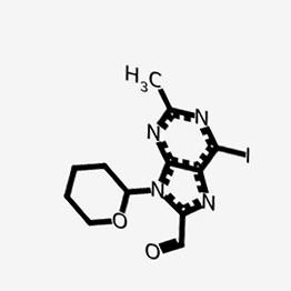 Cc1nc(I)c2nc(C=O)n(C3CCCCO3)c2n1